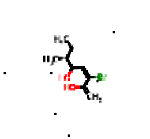 C=C(O)/C(Br)=C\C(O)[C@@H](C)CC